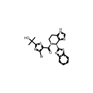 CC(C)(O)c1nc(Br)c(C(=O)N2CCc3[nH]cnc3[C@H]2c2nc3ccccc3s2)s1